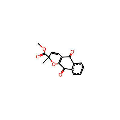 COC(=O)C1(C)C=CC2=C(O1)C(=O)c1ccccc1C2=O